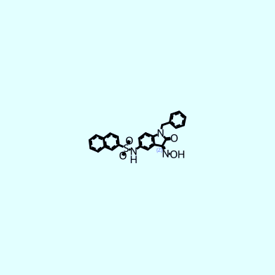 O=C1/C(=N\O)c2cc(NS(=O)(=O)c3ccc4ccccc4c3)ccc2N1Cc1ccccc1